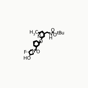 Cc1cc(CNC(=O)OC(C)(C)C)cc(Oc2cccc(C(=O)N3C[C@@H](O)[C@H](F)C3)c2)n1